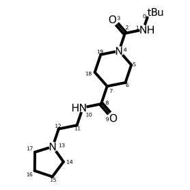 CC(C)(C)NC(=O)N1CCC(C(=O)NCCN2CCCC2)CC1